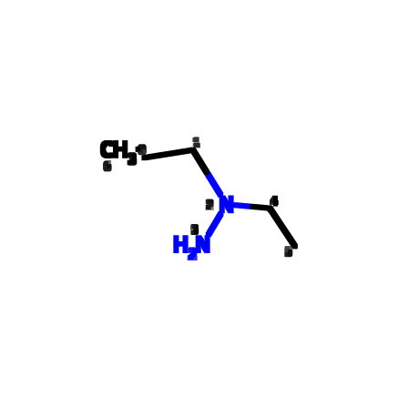 CCN(N)CC.[CH3]